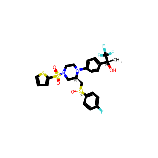 C[C@@](O)(c1ccc(N2CCN(S(=O)(=O)c3cccs3)C[C@@H]2C[S@@+]([O-])c2ccc(F)cc2)cc1)C(F)(F)F